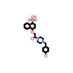 O=C(COc1ccc(S(=O)(=O)O)c2ccccc12)N1CCN(Cc2ccc(Cl)cc2)CC1